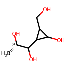 B[C@H](O)C(O)C1C(O)C1CO